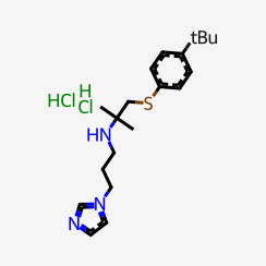 CC(C)(CSc1ccc(C(C)(C)C)cc1)NCCCn1ccnc1.Cl.Cl